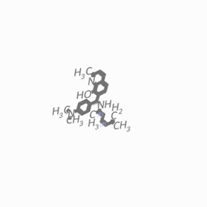 C=C(C)/C=C\C=C(/C)N[C@@H](c1ccc(N(C)C)cc1)c1ccc2ccc(C)nc2c1O